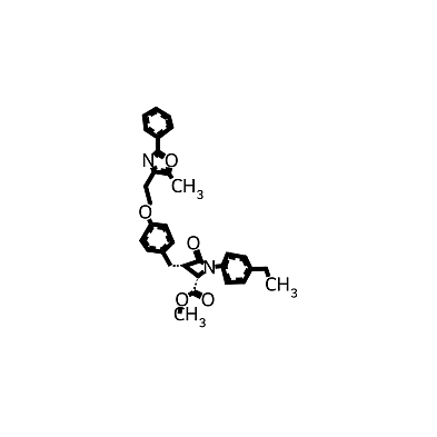 CCc1ccc(N2C(=O)[C@@H](Cc3ccc(OCCc4nc(-c5ccccc5)oc4C)cc3)[C@H]2C(=O)OC)cc1